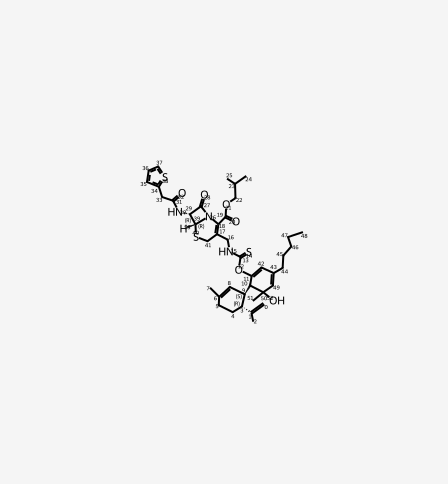 C=C(C)[C@@H]1CCC(C)=C[C@H]1C1C(OC(=S)NCC2=C(C(=O)OCC(C)C)N3C(=O)[C@@H](NC(=O)Cc4cccs4)[C@H]3SC2)=CC(CCCCC)=CC1(C)O